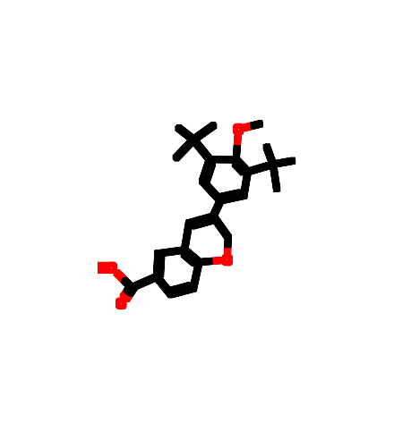 COc1c(C(C)(C)C)cc(C2=Cc3cc(C(=O)O)ccc3OC2)cc1C(C)(C)C